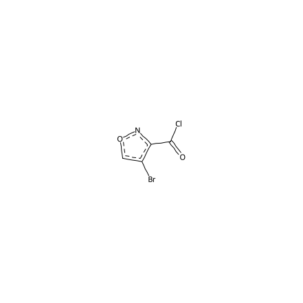 O=C(Cl)c1nocc1Br